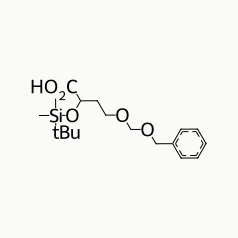 CC(C)(C)[Si](C)(C)OC(CCOCOCc1ccccc1)C(=O)O